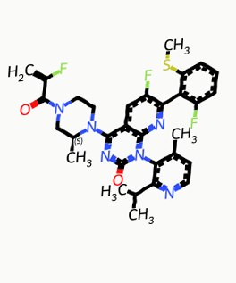 C=C(F)C(=O)N1CCN(c2nc(=O)n(-c3c(C)ccnc3C(C)C)c3nc(-c4c(F)cccc4SC)c(F)cc23)[C@@H](C)C1